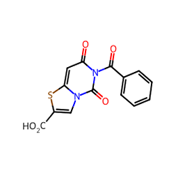 O=C(O)c1cn2c(=O)n(C(=O)c3ccccc3)c(=O)cc2s1